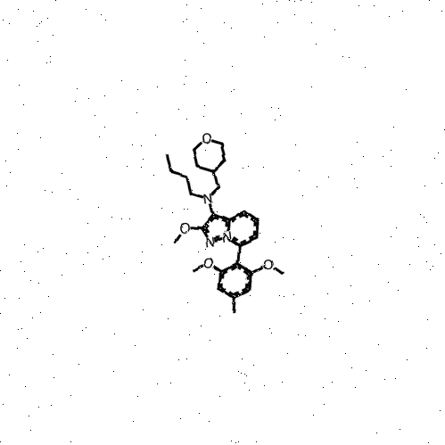 CCCCN(CC1CCOCC1)c1c(OC)nn2c(-c3c(OC)cc(C)cc3OC)cccc12